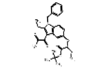 CCc1c(C(=O)C(N)=O)c2cc(OC(CC)C(=O)OC(C)(C)C)ccc2n1Cc1ccccc1